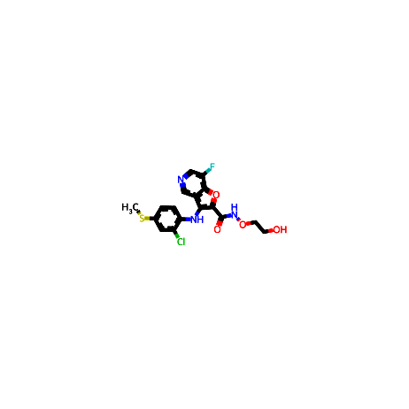 CSc1ccc(Nc2c(C(=O)NOCCO)oc3c(F)cncc23)c(Cl)c1